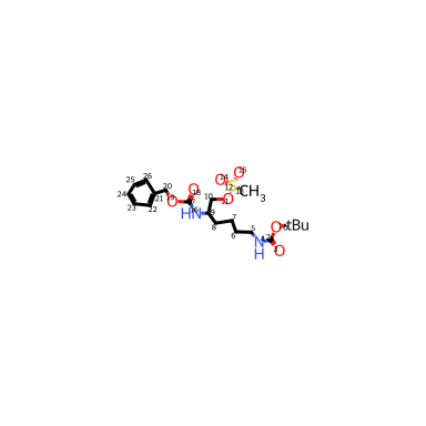 CC(C)(C)OC(=O)NCCCCC(COS(C)(=O)=O)NC(=O)OCc1ccccc1